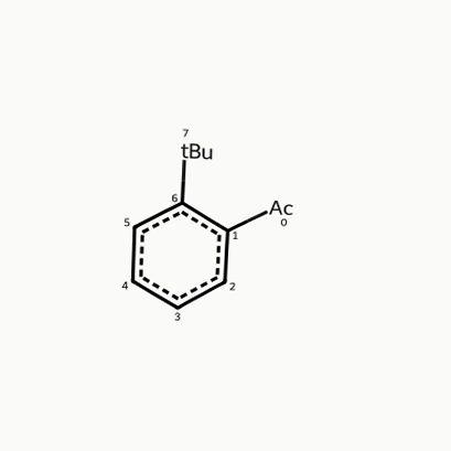 CC(=O)c1ccccc1C(C)(C)C